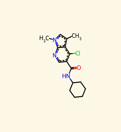 Cc1cn(C)c2ncc(C(=O)NC3CCCCC3)c(Cl)c12